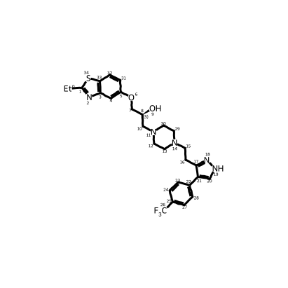 CCc1nc2cc(OC[C@@H](O)CN3CCN(CCc4n[nH]cc4-c4ccc(C(F)(F)F)cc4)CC3)ccc2s1